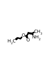 C=CCOC(=O)C=C(C)N